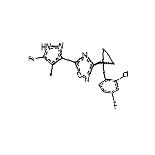 Cc1c(-c2nc(C3(c4ccc(F)cc4Cl)CC3)no2)n[nH]c1Br